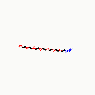 [N-]=[N+]=NCCOCCOCCOCCOCCOCCOCCO